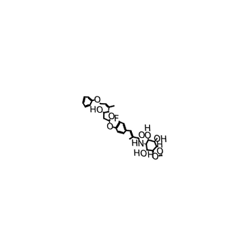 C/C(=C/COc1ccccc1)[C@H]1O[C@@H](Oc2ccc(/C=C(\C)C(=O)N[C@@H]3[C@H](O)[C@@H](O)[C@H]4OCO[C@H]4[C@@H]3O)cc2F)C[C@@H]1O